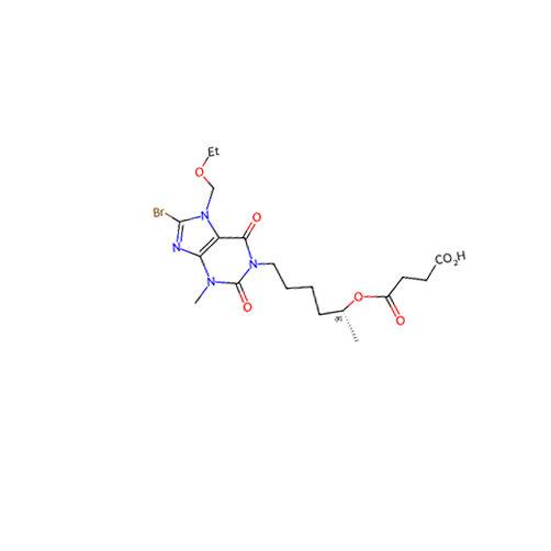 CCOCn1c(Br)nc2c1c(=O)n(CCCC[C@@H](C)OC(=O)CCC(=O)O)c(=O)n2C